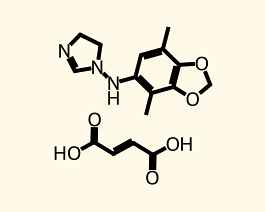 Cc1cc(NN2C=NCC2)c(C)c2c1OCO2.O=C(O)C=CC(=O)O